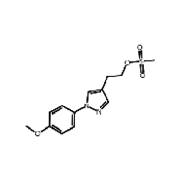 COc1ccc(-n2cc(CCOS(C)(=O)=O)cn2)cc1